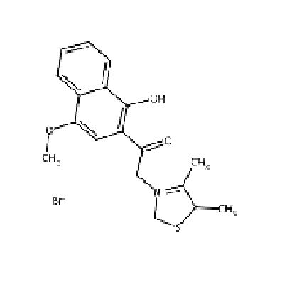 COc1cc(C(=O)C[N+]2=C(C)C(C)SC2)c(O)c2ccccc12.[Br-]